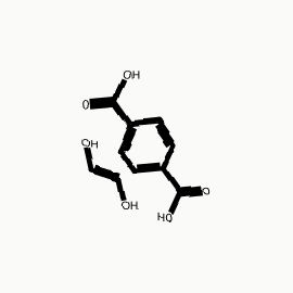 O=C(O)c1ccc(C(=O)O)cc1.OC=CO